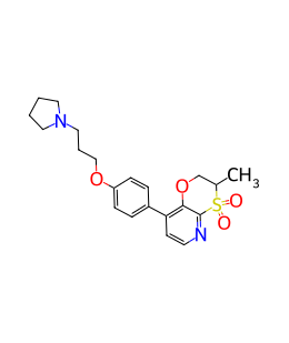 CC1COc2c(-c3ccc(OCCCN4CCCC4)cc3)ccnc2S1(=O)=O